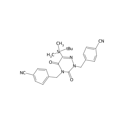 CC(C)(C)[Si](C)(C)c1nn(Cc2ccc(C#N)cc2)c(=O)n(Cc2ccc(C#N)cc2)c1=O